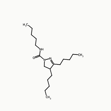 CCCCCNC(=O)N1CC(CCCCC)C(CCCCC)=N1